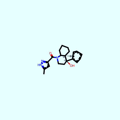 Cc1cc(C(=O)N2CC[C@@](O)(c3ccccc3)[C@@H]3CCCCC32)n[nH]1